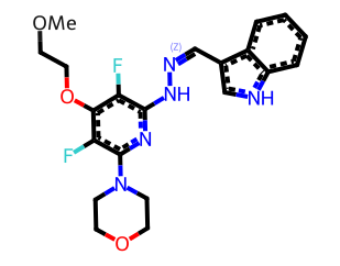 COCCOc1c(F)c(N/N=C\c2c[nH]c3ccccc23)nc(N2CCOCC2)c1F